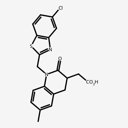 Cc1ccc2c(c1)CC(CC(=O)O)C(=O)N2Cc1nc2cc(Cl)ccc2s1